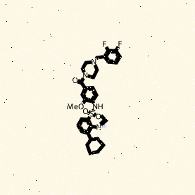 C/C=N\c1c(C2CCCCC2)cccc1S(=O)(=O)Nc1ccc(C(=O)N2CCN(Cc3cccc(F)c3F)CC2)cc1OC